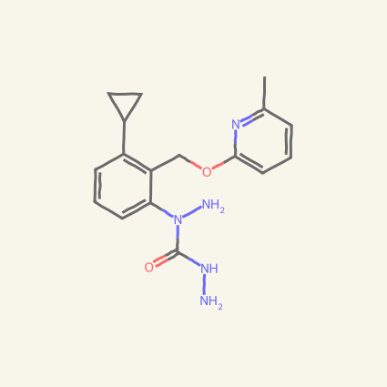 Cc1cccc(OCc2c(C3CC3)cccc2N(N)C(=O)NN)n1